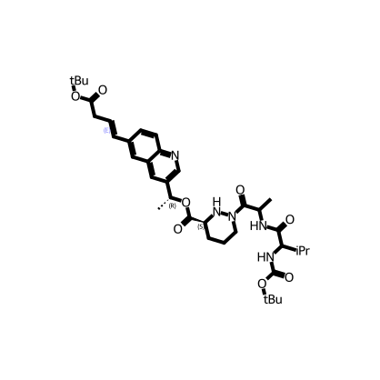 CC(NC(=O)C(NC(=O)OC(C)(C)C)C(C)C)C(=O)N1CCC[C@@H](C(=O)O[C@H](C)c2cnc3ccc(/C=C/CC(=O)OC(C)(C)C)cc3c2)N1